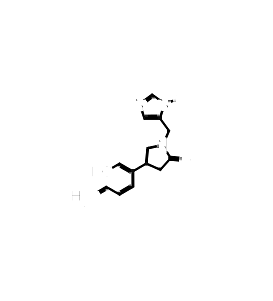 C=C/C=C\C(=C/C)C1CC(=O)N(Cc2cncn2C)C1